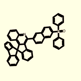 O=P(c1ccccc1)(c1ccccc1)c1ccc2cc(-c3nc4ccccc4c4c3-c3ccccc3C43c4ccccc4-c4ccccc43)ccc2c1